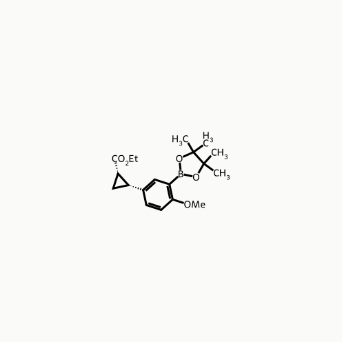 CCOC(=O)[C@H]1C[C@H]1c1ccc(OC)c(B2OC(C)(C)C(C)(C)O2)c1